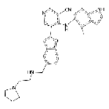 Cc1c(Nc2c(C#N)cncc2-c2cc3cc(CNCCN4CCCC4)ccc3o2)ccc2[nH]ccc12